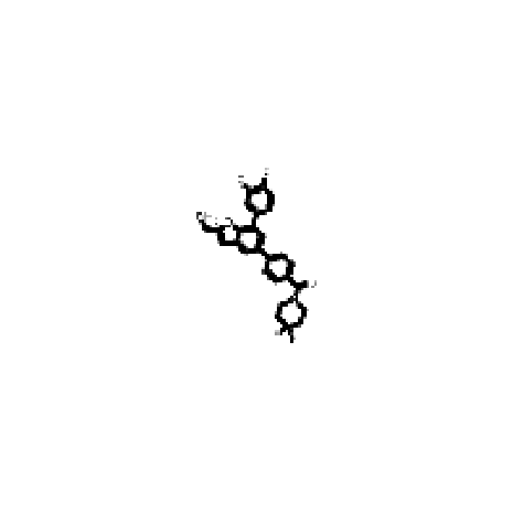 NCc1cc2cc(-c3ccc(C(=O)N4CCC(F)(F)CC4)cc3)cc(-c3ccc(F)c(F)c3)c2o1